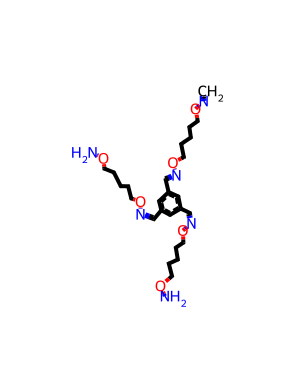 C=NOCCCCCO/N=C/c1cc(/C=N\OCCCCCON)cc(/C=N\OCCCCCON)c1